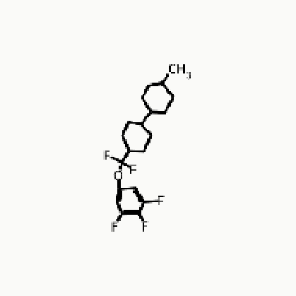 CC1CCC(C2CCC(C(F)(F)Oc3cc(F)c(F)c(F)c3)CC2)CC1